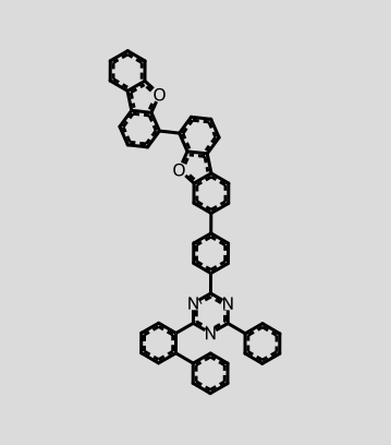 c1ccc(-c2nc(-c3ccc(-c4ccc5c(c4)oc4c(-c6cccc7c6oc6ccccc67)cccc45)cc3)nc(-c3ccccc3-c3ccccc3)n2)cc1